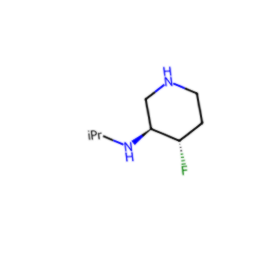 CC(C)N[C@H]1CNCC[C@@H]1F